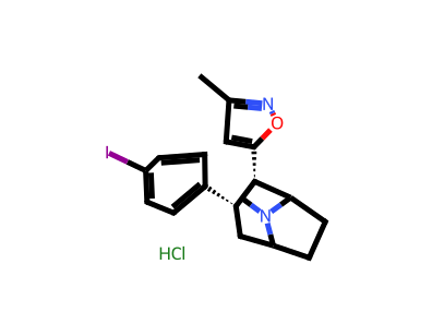 Cc1cc([C@@H]2C3CCC(C[C@@H]2c2ccc(I)cc2)N3C)on1.Cl